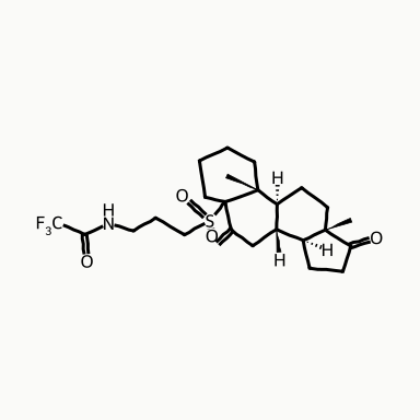 C=C1C[C@H]2[C@@H]3CCC(=O)[C@@]3(C)CC[C@@H]2[C@@]2(C)CCCCC12S(=O)(=O)CCCNC(=O)C(F)(F)F